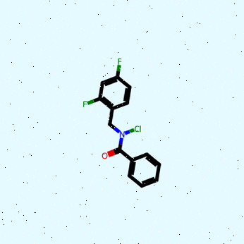 O=C(c1ccccc1)N(Cl)Cc1ccc(F)cc1F